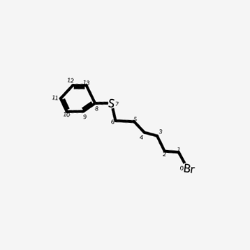 BrCCCCCCSc1ccccc1